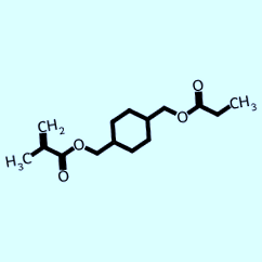 C=C(C)C(=O)OCC1CCC(COC(=O)CC)CC1